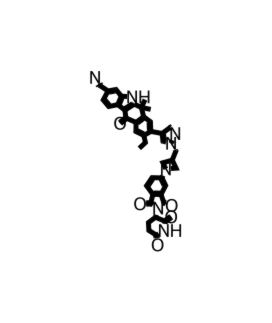 CCc1cc2c(cc1-c1cnn(CC3CN(c4ccc5c(c4)C(=O)N(C4CCC(=O)NC4=O)C5=O)C3)c1)C(C)(C)c1[nH]c3cc(C#N)ccc3c1C2=O